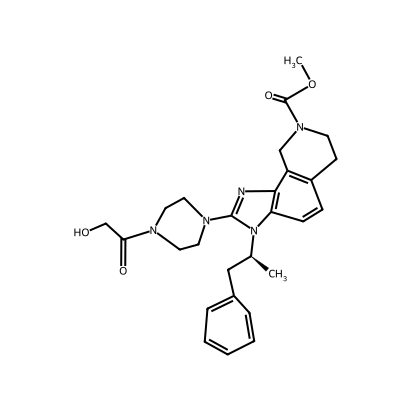 COC(=O)N1CCc2ccc3c(nc(N4CCN(C(=O)CO)CC4)n3[C@@H](C)Cc3ccccc3)c2C1